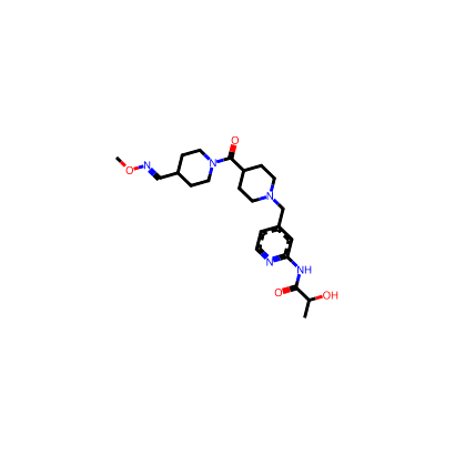 CON=CC1CCN(C(=O)C2CCN(Cc3ccnc(NC(=O)C(C)O)c3)CC2)CC1